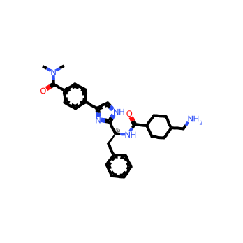 CN(C)C(=O)c1ccc(-c2c[nH]c([C@H](Cc3ccccc3)NC(=O)C3CCC(CN)CC3)n2)cc1